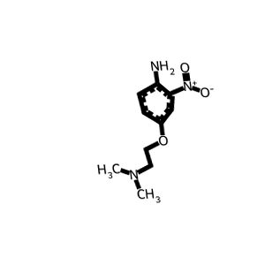 CN(C)CCOc1ccc(N)c([N+](=O)[O-])c1